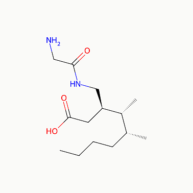 CCCC[C@@H](C)[C@@H](C)[C@H](CNC(=O)CN)CC(=O)O